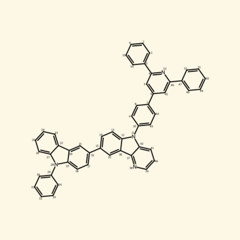 c1ccc(-c2cc(-c3ccc(-n4c5ccc(-c6ccc7c(c6)c6ccccc6n7-c6ccccc6)cc5c5ncccc54)cc3)cc(-c3ccccc3)n2)cc1